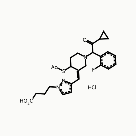 CC(=O)SC1CCN(C(C(=O)C2CC2)c2ccccc2F)C/C1=C/c1ccn(CCCC(=O)O)n1.Cl